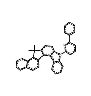 CC1(C)c2ccc3c(c2-c2ccc4ccccc4c21)c1ccccc1n3-c1cccc(-c2ccccc2)n1